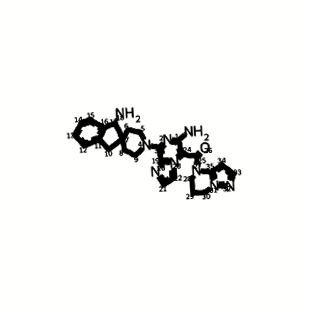 Nc1nc(N2CCC3(CC2)Cc2ccccc2[C@H]3N)c2nccn2c1C(=O)N1CCCn2nccc21